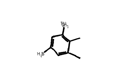 Bc1cc(B)c(C)c(C)c1